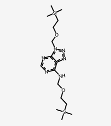 C[Si](C)(C)CCOCNc1ncnc2c1nnn2COCC[Si](C)(C)C